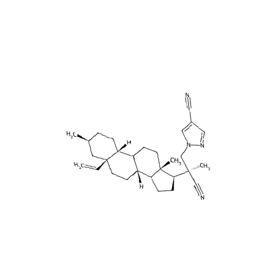 C=C[C@]12CC[C@@H]3C(CC[C@@]4(C)C3CC[C@@H]4[C@](C)(C#N)Cn3cc(C#N)cn3)[C@H]1CC[C@H](C)C2